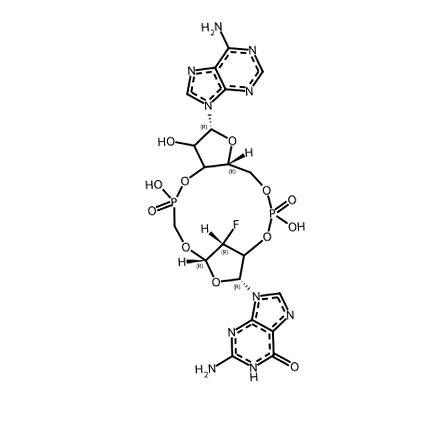 Nc1nc2c(ncn2[C@@H]2O[C@@H]3OCP(=O)(O)OC4C(O)[C@H](n5cnc6c(N)ncnc65)O[C@@H]4COP(=O)(O)OC2[C@H]3F)c(=O)[nH]1